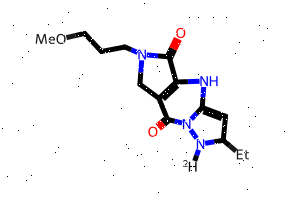 [2H]N1C(CC)C=C2NC3=C(CN(CCCOC)C3=O)C(=O)N21